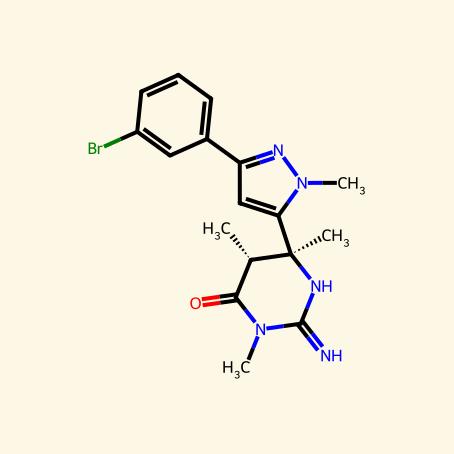 C[C@H]1C(=O)N(C)C(=N)N[C@]1(C)c1cc(-c2cccc(Br)c2)nn1C